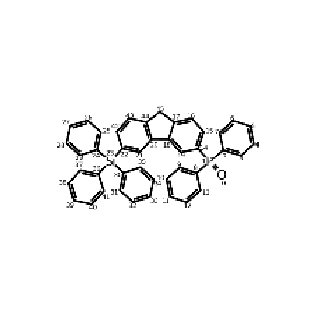 O=P(c1ccccc1)(c1ccccc1)c1ccc2c(c1)-c1cc([Si](c3ccccc3)(c3ccccc3)c3ccccc3)ccc1C2